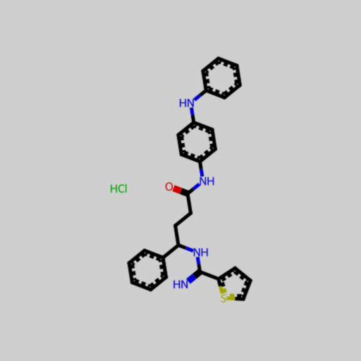 Cl.N=C(NC(CCC(=O)Nc1ccc(Nc2ccccc2)cc1)c1ccccc1)c1cccs1